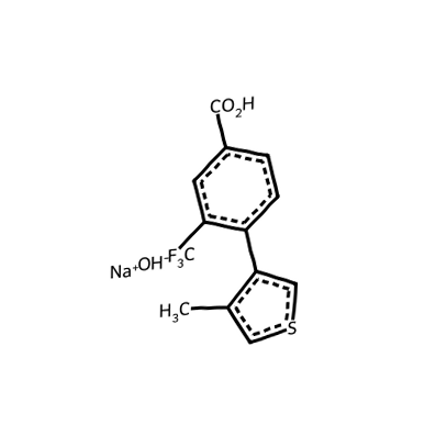 Cc1cscc1-c1ccc(C(=O)O)cc1C(F)(F)F.[Na+].[OH-]